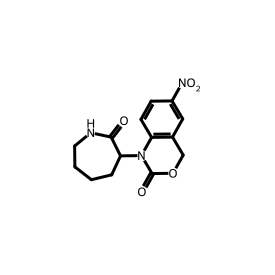 O=C1NCCCCC1N1C(=O)OCc2cc([N+](=O)[O-])ccc21